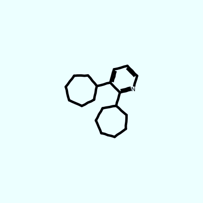 c1cnc(C2CCCCCC2)c(C2CCCCCC2)c1